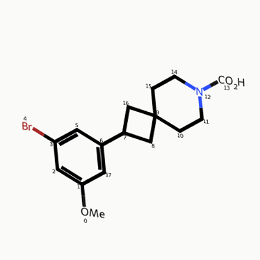 COc1cc(Br)cc(C2CC3(CCN(C(=O)O)CC3)C2)c1